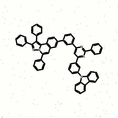 c1ccc(-c2nc(-c3cccc(-c4ccc5c(c4)cc(-c4ccccc4)n4nc(-c6ccccc6)c(-c6ccccc6)c54)c3)cc(-c3cccc(-n4c5ccccc5c5ccccc54)c3)n2)cc1